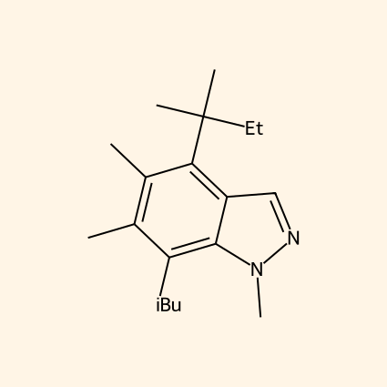 CCC(C)c1c(C)c(C)c(C(C)(C)CC)c2cnn(C)c12